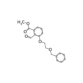 COC(=O)c1cccc(OCCOCc2ccccc2)c1C=O